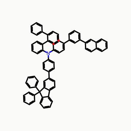 c1ccc(-c2ccccc2-c2ccccc2N(c2ccc(-c3cccc(-c4ccc5ccccc5c4)c3)cc2)c2ccc(-c3ccc4c(c3)C(c3ccccc3)(c3ccccc3)c3ccccc3-4)cc2)cc1